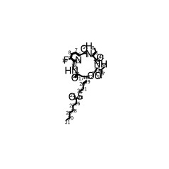 C/C=C1\NC(=O)c2ccc(F)c(n2)CNC(=O)C[C@@H](/C=C/CCSC(=O)CCCCCC)OC(=O)[C@H](C(C)C)NC1=O